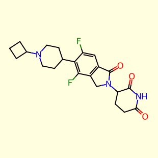 O=C1CCC(N2Cc3c(cc(F)c(C4CCN(C5CCC5)CC4)c3F)C2=O)C(=O)N1